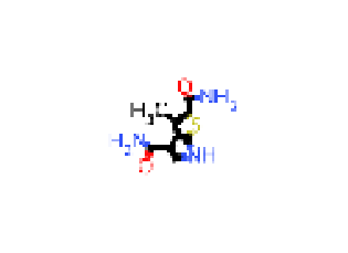 Cc1c(C(N)=O)sc2[nH]cc(C(N)=O)c12